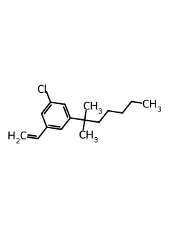 C=Cc1cc(Cl)cc(C(C)(C)CCCCC)c1